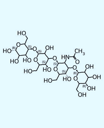 CC(=O)NC1C(O[C@@H]2OC(CO)[C@H](O)C(O)C2O)[C@H](O)C(CO)O[C@H]1OC1C(O)[C@H](O[C@@H]2C(CO)O[C@@H](O)C(O)C2O)OC(CO)[C@@H]1O